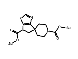 CC(C)(C)OC(=O)NCC1(c2cscn2)CCN(C(=O)OC(C)(C)C)CC1